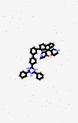 C1=CC2=C(CN1)C1(C3=C(O2)C2CN2C3)c2ccccc2-c2ccc(-c3cccc(-c4ccc(C5NC(c6ccccc6)NC(c6ccccc6)N5)cc4)c3)cc21